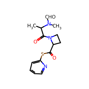 CC(C(=O)N1CCC1C(=O)Sc1ccccn1)N(C)C=O